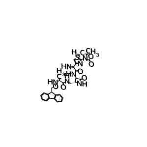 C[C@H](NOCC1c2ccccc2-c2ccccc21)C(=O)NC[C@H]1NC(=O)[C@H]1NC(=O)C(=N)c1csc(N2C(=O)OC2(C)C)n1